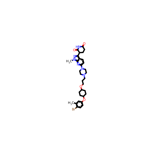 Cc1cc(OC2CCC(OCCCN3CCN(c4ccc5c(C6CCC(=O)NC6=O)nn(C)c5n4)CC3)CC2)ccc1Br